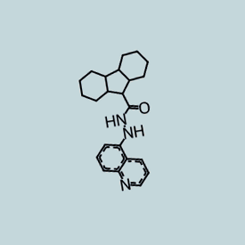 O=C(NNc1cccc2ncccc12)C1C2CCCCC2C2CCCCC21